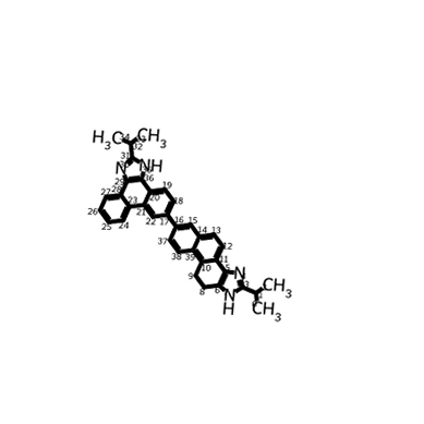 CC(C)c1nc2c([nH]1)CCc1c-2ccc2cc(-c3ccc4c(c3)c3ccccc3c3nc(C(C)C)[nH]c43)ccc12